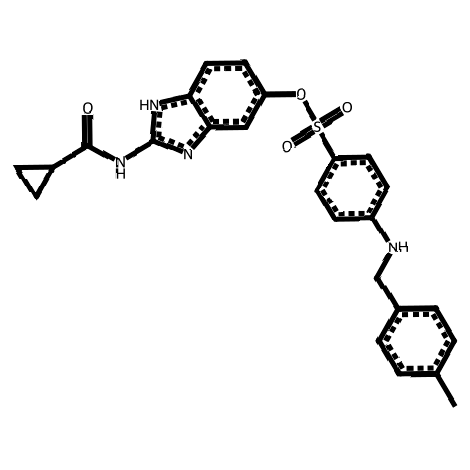 Cc1ccc(CNc2ccc(S(=O)(=O)Oc3ccc4[nH]c(NC(=O)C5CC5)nc4c3)cc2)cc1